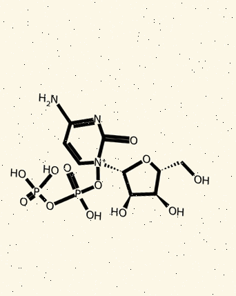 NC1=NC(=O)[N+](OP(=O)(O)OP(=O)(O)O)([C@@H]2O[C@H](CO)[C@@H](O)[C@H]2O)C=C1